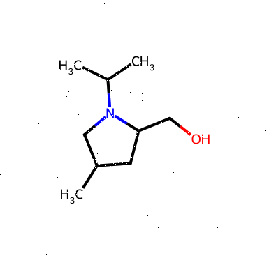 CC1CC(CO)N(C(C)C)C1